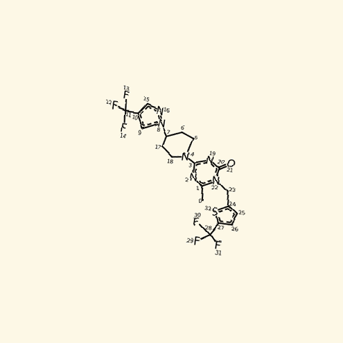 Cc1nc(N2CCC(n3cc(C(F)(F)F)cn3)CC2)nc(=O)n1Cc1ccc(C(F)(F)F)s1